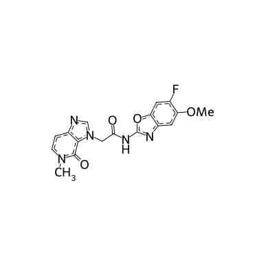 COc1cc2nc(NC(=O)Cn3cnc4ccn(C)c(=O)c43)oc2cc1F